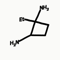 CCC1(N)CCC1N